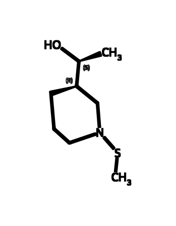 CSN1CCC[C@@H]([C@H](C)O)C1